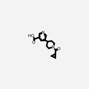 O=C(O)c1cncc(C2CCN(C(=O)C3CC3)CC2)c1